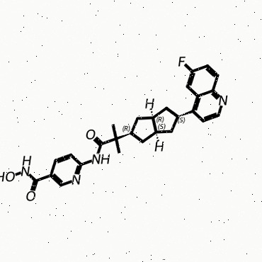 CC(C)(C(=O)Nc1ccc(C(=O)NO)cn1)[C@H]1C[C@H]2C[C@@H](c3ccnc4ccc(F)cc34)C[C@H]2C1